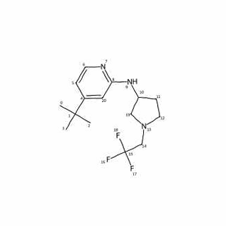 CC(C)(C)c1ccnc(NC2CCN(CC(F)(F)F)C2)c1